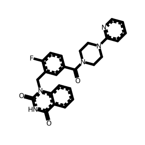 O=C(c1ccc(F)c(Cn2c(=O)[nH]c(=O)c3ccccc32)c1)N1CCN(c2ccccn2)CC1